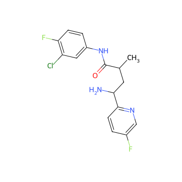 CC(CC(N)c1ccc(F)cn1)C(=O)Nc1ccc(F)c(Cl)c1